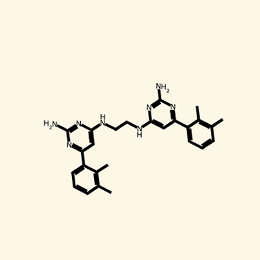 Cc1cccc(-c2cc(NCCNc3cc(-c4cccc(C)c4C)nc(N)n3)nc(N)n2)c1C